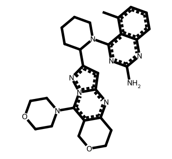 Cc1cccc2nc(N)nc(N3CCCCC3c3cc4nc5c(c(N6CCOCC6)n4n3)COCC5)c12